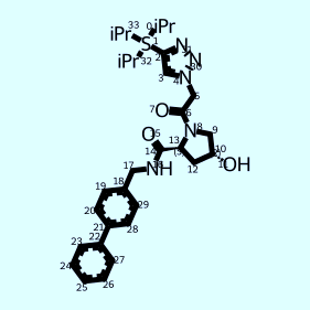 CC(C)S(c1cn(CC(=O)N2C[C@H](O)C[C@H]2C(=O)NCc2ccc(-c3ccccc3)cc2)nn1)(C(C)C)C(C)C